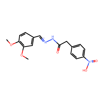 COc1ccc(/C=N/NC(=O)Cc2ccc([N+](=O)O)cc2)cc1OC